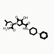 CC(C)C[C@H](C(N)=O)N1CC(C(=O)N[C@H]2CC[C@@H](c3ccccc3)CC2)=C(O)C1=O